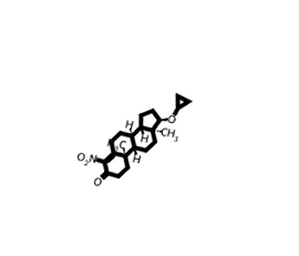 C[C@]12CC[C@H]3[C@@H](CCC4=C([N+](=O)[O-])C(=O)CC[C@@]43C)[C@@H]1CC[C@H]2OC1CC1